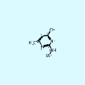 CCNc1nc(C)cc(Cl)n1